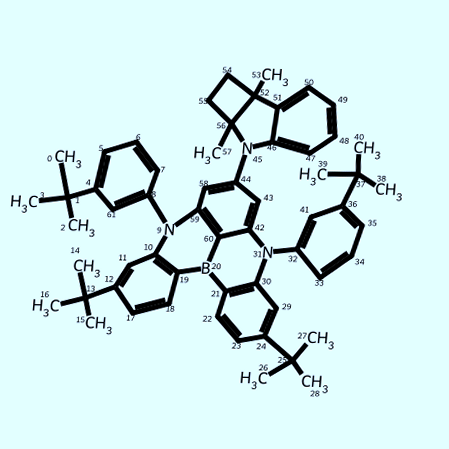 CC(C)(C)c1cccc(N2c3cc(C(C)(C)C)ccc3B3c4ccc(C(C)(C)C)cc4N(c4cccc(C(C)(C)C)c4)c4cc(N5c6ccccc6C6(C)CCC56C)cc2c43)c1